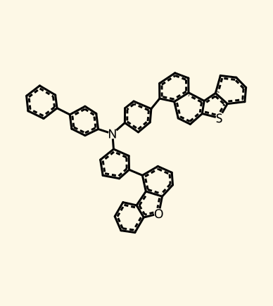 c1ccc(-c2ccc(N(c3ccc(-c4cccc5c4ccc4sc6ccccc6c45)cc3)c3cccc(-c4cccc5oc6ccccc6c45)c3)cc2)cc1